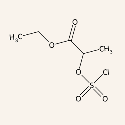 CCOC(=O)C(C)OS(=O)(=O)Cl